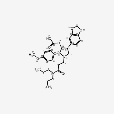 CCCN(CCC)C(=O)CCN1C[C@H](c2ccc3c(c2)OCO3)[C@H](OC(=O)O)[C@H]1c1ccc(OC)cc1